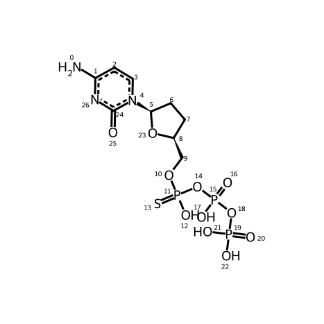 Nc1ccn([C@H]2CC[C@@H](COP(O)(=S)OP(=O)(O)OP(=O)(O)O)O2)c(=O)n1